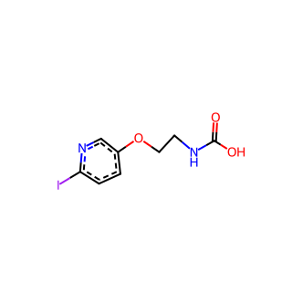 O=C(O)NCCOc1ccc(I)nc1